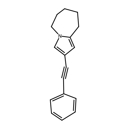 C(#Cc1cc2n(c1)CCCCC2)c1ccccc1